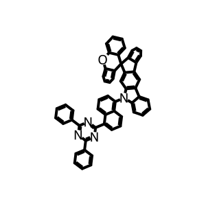 c1ccc(-c2nc(-c3ccccc3)nc(-c3cccc4c(-n5c6ccccc6c6cc7c(cc65)C5(c6ccccc6Oc6ccccc65)c5ccccc5-7)cccc34)n2)cc1